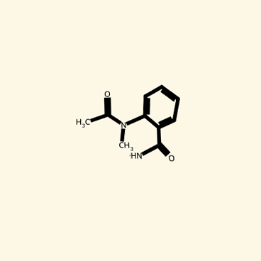 CC(=O)N(C)c1ccccc1C([NH])=O